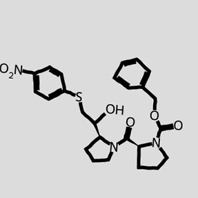 O=C(OCc1ccccc1)N1CCC[C@H]1C(=O)N1CCC[C@H]1C(O)CSc1ccc([N+](=O)[O-])cc1